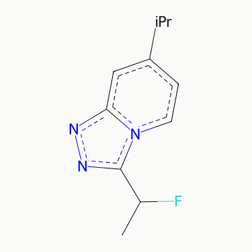 CC(C)c1ccn2c(C(C)F)nnc2c1